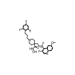 COc1ccc2ncc(F)c([C@H](F)CCC3(C(=O)NO)CCN(CCCc4c(F)cc(F)cc4F)CC3)c2c1